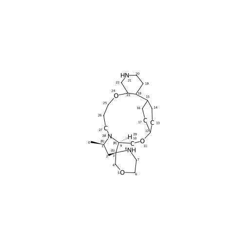 C[C@@H]1C[C@@]2(COCCN2)[C@@H]2COC3CCC(CC3)C3CCNCC3OCCCN12